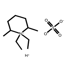 CC[N+]1(CC)C(C)CCCC1C.O=S(=O)([O-])[O-].[H+]